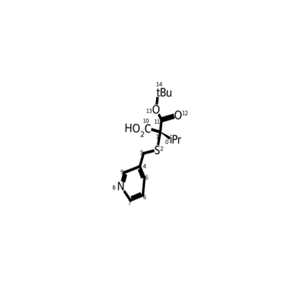 CC(C)[C@@](SCc1cccnc1)(C(=O)O)C(=O)OC(C)(C)C